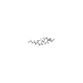 CCCC=C[C@H]1CC[C@H]([C@H]2CC[C@H](OCC)CC2)CC1